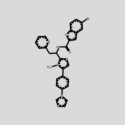 Cn1c(-c2ccc(-n3ccnc3)cc2)cnc1C(Cc1ccccn1)NC(=O)c1cc2cc(Br)ccc2o1